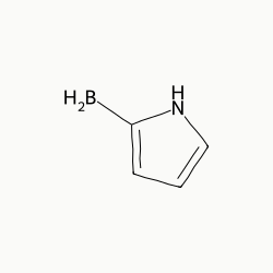 Bc1ccc[nH]1